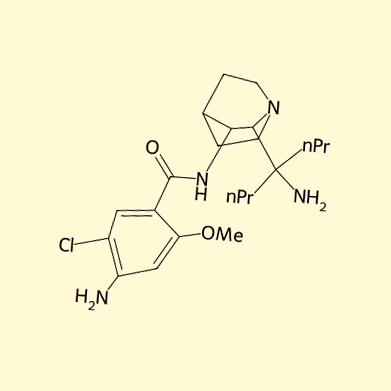 CCCC(N)(CCC)C1C(NC(=O)c2cc(Cl)c(N)cc2OC)C2CCN1CC2